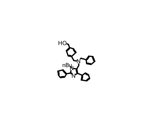 CCCCn1c(-c2ccccc2)nc(-c2ccccc2)c1CN(Cc1ccccc1)Cc1ccc(CO)cc1